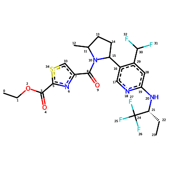 CCOC(=O)c1nc(C(=O)N2C(C)CCC2c2cnc(N[C@H](CC)C(F)(F)F)cc2C(F)F)cs1